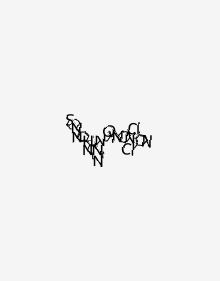 O=C(CNc1c(-c2ccc(N3CCSCC3)nc2)nc2cnccn12)N1CCN(c2c(Cl)cncc2Cl)CC1